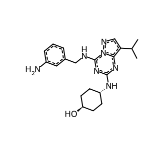 CC(C)c1cnn2c(NCc3cccc(N)c3)nc(N[C@H]3CC[C@H](O)CC3)nc12